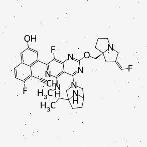 C#Cc1c(F)ccc2cc(O)cc(-c3nc(NC)c4c(N5CC6CCC(CC)(C5)N6)nc(OC[C@@]56CCCN5C/C(=C\F)C6)nc4c3F)c12